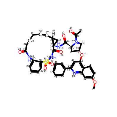 COc1ccc2c(O[C@@H]3C[C@@H](C(=O)N[C@]45C[C@H]4CCCCCC(=O)Nc4ccccc4S(=O)(=O)NC5=O)N(C(C)=O)C3)cc(-c3ccccc3)nc2c1